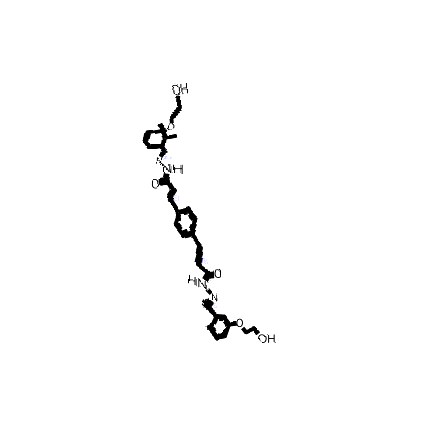 CC1C(/C=N/NC(=O)/C=C/c2ccc(/C=C/C(=O)N/N=C/c3cccc(OCCO)c3)cc2)=CC=CC1(C)OCCO